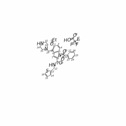 CCOc1ccc2c(cc(C(=O)NCc3cccs3)n2S(=O)(=O)c2ccccc2)c1CN1CCNCC1.O=C(O)C(F)(F)F